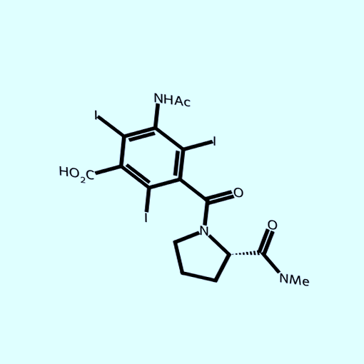 CNC(=O)[C@@H]1CCCN1C(=O)c1c(I)c(NC(C)=O)c(I)c(C(=O)O)c1I